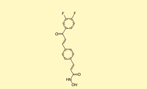 O=C(/C=C/c1ccc(/C=C/C(=O)c2ccc(F)c(F)c2)cc1)NO